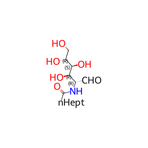 CCCCCCCC(=O)N[C@@H](C=O)[C@@H](O)[C@H](O)[C@H](O)CO